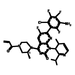 C=CC(=O)N1CCN(c2nc(=O)n(C3C(C(C)C)=NC=CC3C)c3nc(-c4c(F)c(N)c(F)c(F)c4Cl)c(F)cc23)[C@@H](C)C1